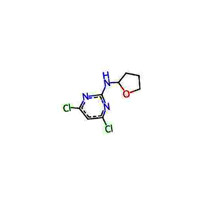 Clc1cc(Cl)nc(NC2CCCO2)n1